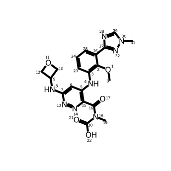 COc1c(Nc2cc(NC3COC3)nnc2C(=O)N(C)C(=O)O)cccc1-c1ncn(C)n1